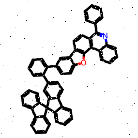 c1ccc(-c2nc3ccccc3c3c2ccc2c4cc(-c5ccccc5-c5ccc6c(c5)C5(c7ccccc7-c7ccccc75)c5ccccc5-6)ccc4oc23)cc1